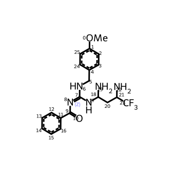 COc1ccc(CN/C(=N/C(=O)c2ccccc2)NC(N)CC(N)C(F)(F)F)cc1